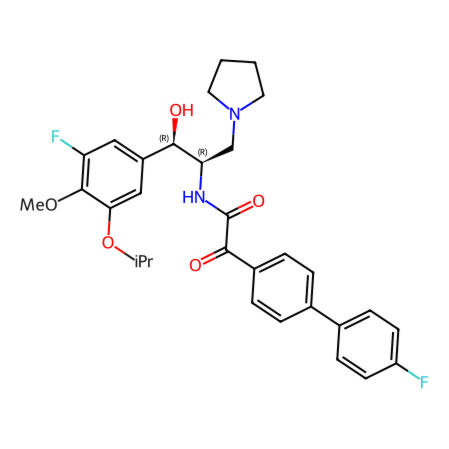 COc1c(F)cc([C@@H](O)[C@@H](CN2CCCC2)NC(=O)C(=O)c2ccc(-c3ccc(F)cc3)cc2)cc1OC(C)C